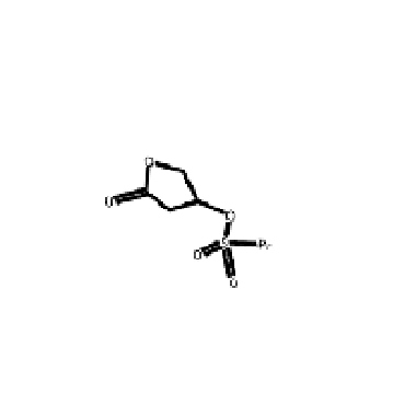 CC(C)S(=O)(=O)OC1COC(=O)C1